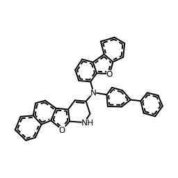 C1=C(N(c2ccc(-c3ccccc3)cc2)c2cccc3c2oc2ccccc23)CNc2oc3c(ccc4ccccc43)c21